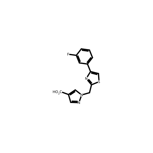 O=C(O)c1cnn(Cc2nc(-c3cccc(F)c3)cs2)c1